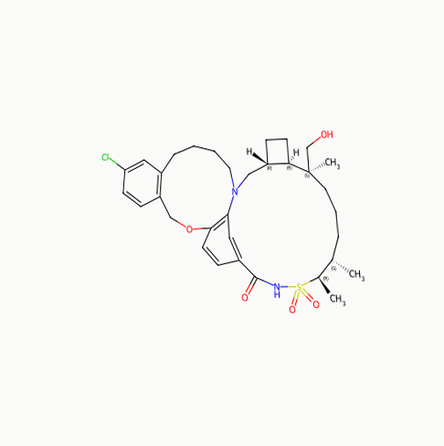 C[C@@H]1[C@@H](C)CCC[C@](C)(CO)[C@@H]2CC[C@H]2CN2CCCCc3cc(Cl)ccc3COc3ccc(cc32)C(=O)NS1(=O)=O